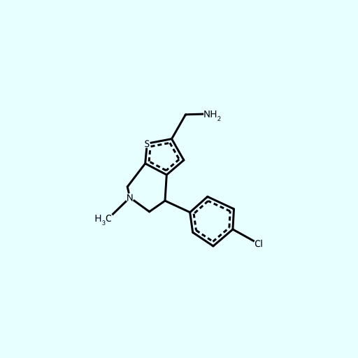 CN1Cc2sc(CN)cc2C(c2ccc(Cl)cc2)C1